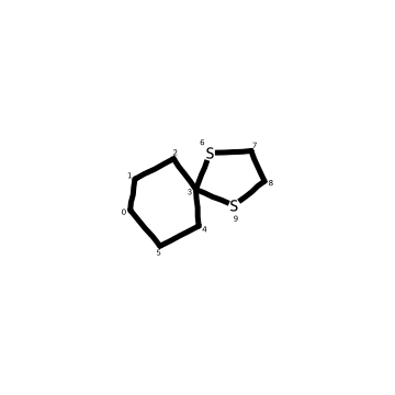 C1CCC2(CC1)SCCS2